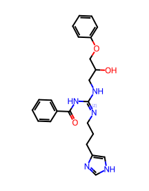 O=C(N/C(=N\CCCc1c[nH]cn1)NCC(O)COc1ccccc1)c1ccccc1